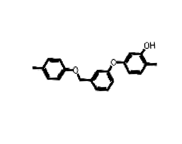 Cc1ccc(OCc2cccc(Oc3ccc(C)c(O)c3)c2)cc1